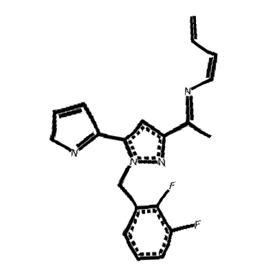 C=C/C=C\N=C(/C)c1cc(C2=NCC=C2)n(Cc2cccc(F)c2F)n1